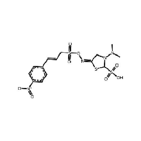 CN(C)N1CC(=NOS(=O)(=O)CC=Cc2ccc([N+](=O)[O-])cc2)SC1S(=O)(=O)O